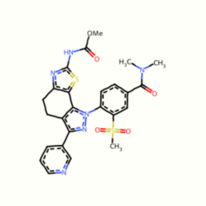 COC(=O)Nc1nc2c(s1)-c1c(c(-c3cccnc3)nn1-c1ccc(C(=O)N(C)C)cc1S(C)(=O)=O)CC2